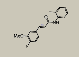 COc1cc(/C=C/C(=O)Nc2ccccc2C)ccc1F